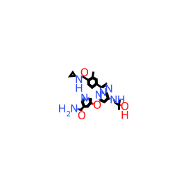 Cc1cc(-c2cnc3c(NCC(C)(C)O)cc(Oc4cncc(C(N)=O)c4)nn23)ccc1C(=O)NC1CC1